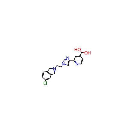 OC(O)c1ccnc(-c2cn(CCN3Cc4ccc(Cl)cc4C3)cn2)c1